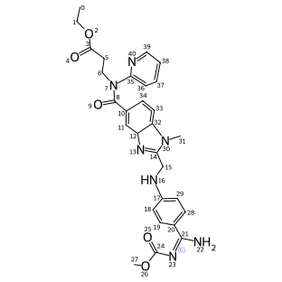 CCOC(=O)CCN(C(=O)C1=CC2N=C(CNc3ccc(/C(N)=N\C(=O)OC)cc3)N(C)C2=C=C1)c1ccccn1